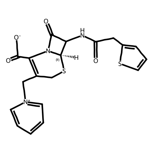 O=C(Cc1cccs1)NC1C(=O)N2C(C(=O)[O-])=C(C[n+]3ccccc3)CS[C@H]12